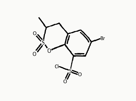 CC1Cc2cc(Br)cc(S(=O)(=O)Cl)c2OS1(=O)=O